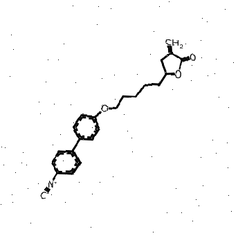 [C-]#[N+]c1ccc(-c2ccc(OCCCCCC3CC(=C)C(=O)O3)cc2)cc1